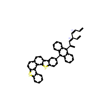 C=C/C=C\C(C=C)=C\C(=C)c1c2ccccc2c(-c2ccc3sc4c(ccc5ccc6sc7ccccc7c6c54)c3c2)c2ccccc12